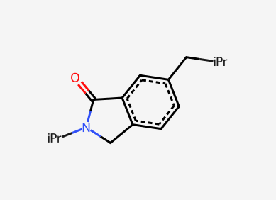 CC(C)Cc1ccc2c(c1)C(=O)N(C(C)C)C2